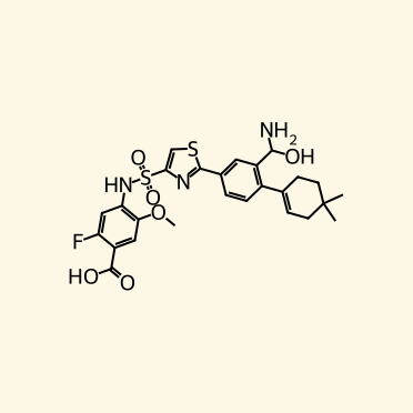 COc1cc(C(=O)O)c(F)cc1NS(=O)(=O)c1csc(-c2ccc(C3=CCC(C)(C)CC3)c(C(N)O)c2)n1